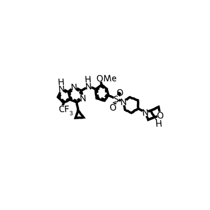 COc1cc(S(=O)(=O)N2CCC(N3C[C@@H]4OCC43)CC2)ccc1Nc1nc(C2CC2)c2c(C(F)(F)F)c[nH]c2n1